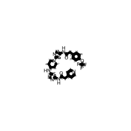 O=C(Cc1ccncc1)Nc1nnc(NC2CCN(c3nnc(NC(=O)Cc4ccc(OC(F)(F)F)cc4)s3)CC2)s1